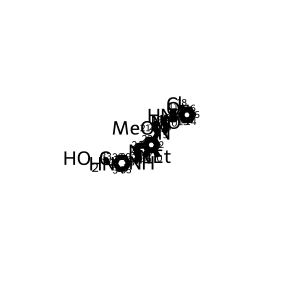 CCc1cc(-c2ncc(NS(=O)(=O)c3ccccc3Cl)nc2OC)cc2cnc(NC3CCC(NC(=O)O)CC3)nc12